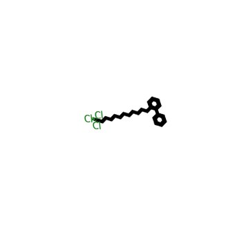 ClC(Cl)(Cl)CCCCCCCCCCCc1ccccc1-c1ccccc1